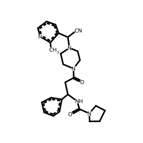 Cc1ncccc1C(C#N)N1CCN(C(=O)CC(NC(=O)N2CCCC2)c2ccccc2)CC1